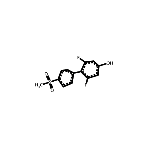 CS(=O)(=O)c1ccc(-c2c(F)cc(O)cc2F)cc1